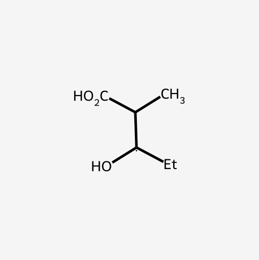 CC[C](O)C(C)C(=O)O